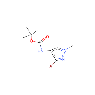 Cn1cc(NC(=O)OC(C)(C)C)c(Br)n1